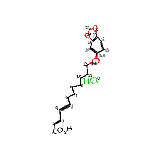 Cl.O=C(O)C=CC=CCCCCCCCOc1ccc2c(c1)OCO2